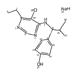 CCc1ncnc(NC(c2ccc(O)cc2)C(C)C)c1Cl.[NaH]